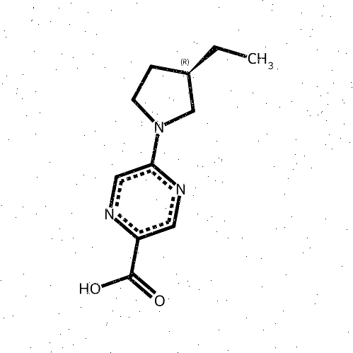 CC[C@@H]1CCN(c2cnc(C(=O)O)cn2)C1